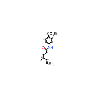 CCOC(=O)c1ccc(NC(=O)CCC(C)C[AsH2])cc1